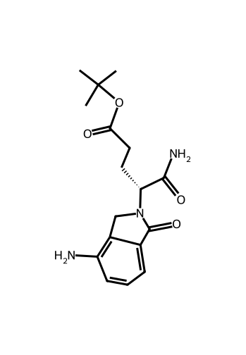 CC(C)(C)OC(=O)CC[C@H](C(N)=O)N1Cc2c(N)cccc2C1=O